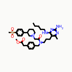 CCCCCNc1nc(N)nc(C)c1CCCN(Cc1ccc(CC(=O)OC)cc1)C(=O)CN1CCCC(c2ccc(S(C)(=O)=O)cc2)C1